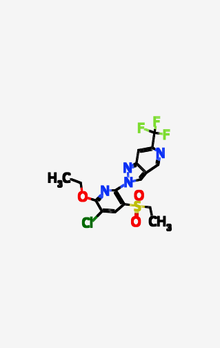 CCOc1nc(-n2cc3cnc(C(F)(F)F)cc3n2)c(S(=O)(=O)CC)cc1Cl